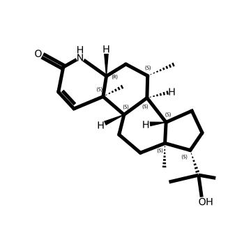 C[C@H]1C[C@H]2NC(=O)C=C[C@]2(C)[C@H]2CC[C@]3(C)[C@@H](C(C)(C)O)CC[C@H]3[C@H]12